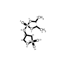 CCOP(=O)(OCC)OC1COS(=O)(=O)C1